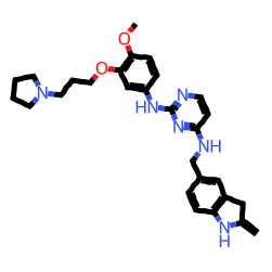 C=C1Cc2cc(CNc3ccnc(Nc4ccc(OC)c(OCCCN5CCCC5)c4)n3)ccc2N1